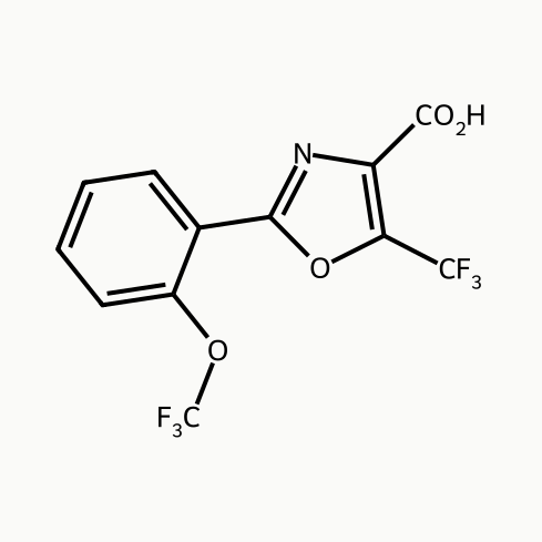 O=C(O)c1nc(-c2ccccc2OC(F)(F)F)oc1C(F)(F)F